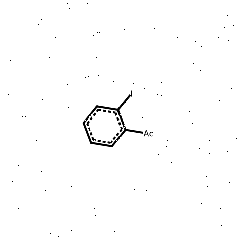 [CH2]C(=O)c1ccccc1I